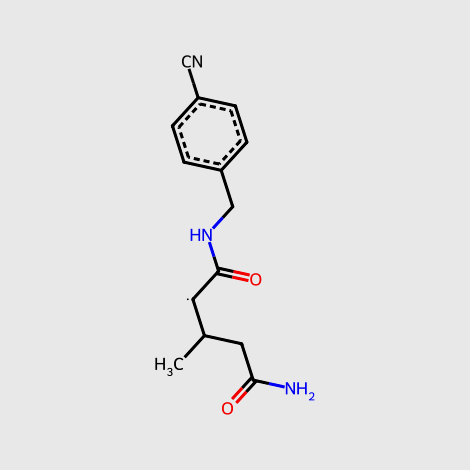 CC([CH]C(=O)NCc1ccc(C#N)cc1)CC(N)=O